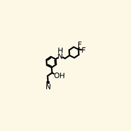 N#CCC(O)c1cccc(NCC2CCC(F)(F)CC2)c1